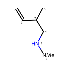 C=CC(C)CNNC